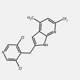 Cc1cc(C(F)(F)F)nc2[nH]c(Cc3c(Cl)[c]ncc3Cl)cc12